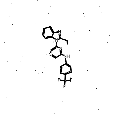 CCc1nc2ccccc2n1-c1cncc(Nc2ccc(C(F)(F)F)cc2)n1